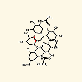 CC(=O)N[C@H]1[C@H](O[C@@H]2[C@@H](OC[C@H]3OC(O)[C@@H](O)[C@@H](O[C@H]4O[C@H](CO)[C@@H](O)[C@H](O)[C@@H]4O[C@@H]4O[C@H](CO)[C@@H](O)[C@H](O)[C@H]4NC(C)=O)[C@@H]3O)O[C@H](CO)[C@@H](O)[C@@H]2O)O[C@H](CO)[C@@H](O)[C@@H]1O